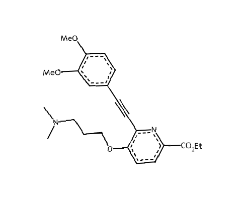 CCOC(=O)c1ccc(OCCCN(C)C)c(C#Cc2ccc(OC)c(OC)c2)n1